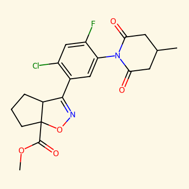 COC(=O)C12CCCC1C(c1cc(N3C(=O)CC(C)CC3=O)c(F)cc1Cl)=NO2